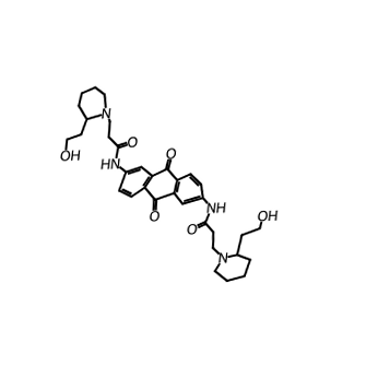 O=C(CCN1CCCCC1CCO)Nc1ccc2c(c1)C(=O)c1ccc(NC(=O)CCN3CCCCC3CCO)cc1C2=O